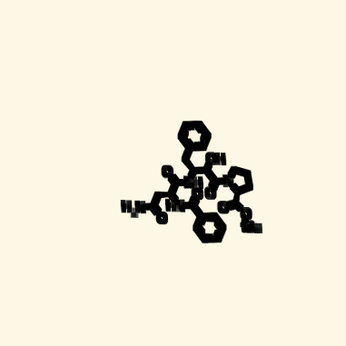 CC(C)(C)OC(=O)[C@@H]1CCCN1C(=O)C(O)[C@H](Cc1ccccc1)NC(=O)[C@H](CC(N)=O)NC(=O)c1ccccc1